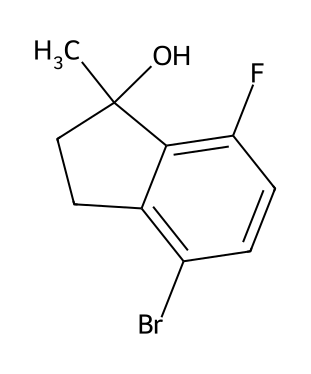 CC1(O)CCc2c(Br)ccc(F)c21